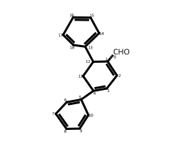 O=CC1=CC=C(c2ccccc2)CC1c1ccccc1